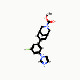 CC(C)(C)OC(=O)N1CC2C=C(c3cc(F)cc(-n4ccnc4)c3)CC(C2)C1